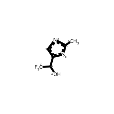 Cc1ncc(C(O)C(F)(F)F)s1